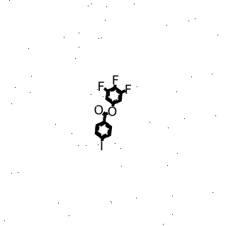 O=C(Oc1cc(F)c(F)c(F)c1)c1ccc(I)cc1